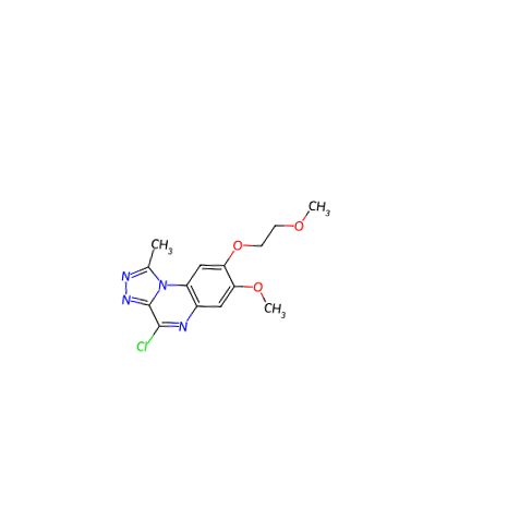 COCCOc1cc2c(cc1OC)nc(Cl)c1nnc(C)n12